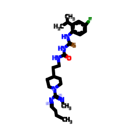 CCC/C=N\C(=N/C)N1CCC(CCNC(=O)NC(=S)Nc2ccc(F)cc2C(C)C)CC1